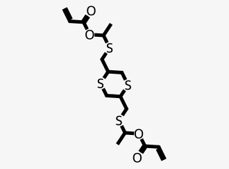 C=CC(=O)OC(C)SCC1CSC(CSC(C)OC(=O)C=C)CS1